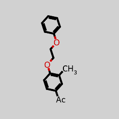 CC(=O)c1ccc(OCCOc2ccccc2)c(C)c1